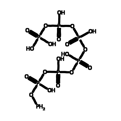 O=P(O)(O)OP(=O)(O)OP(=O)(O)OP(=O)(O)OP(=O)(O)OP(=O)(O)OP